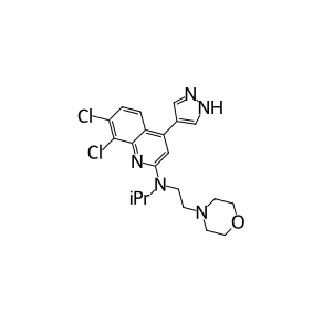 CC(C)N(CCN1CCOCC1)c1cc(-c2cn[nH]c2)c2ccc(Cl)c(Cl)c2n1